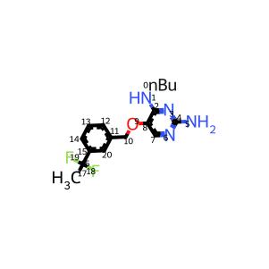 CCCCNc1nc(N)ncc1OCc1cccc(C(C)(F)F)c1